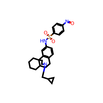 O=Nc1ccc(S(=O)(=O)Nc2ccc3c(c2)C24CCCCC2C(C3)N(CC2CC2)CC4)cc1